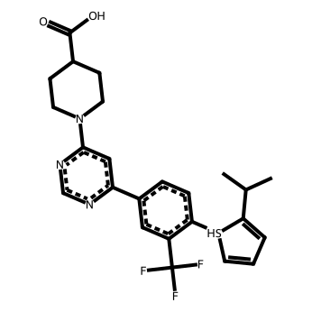 CC(C)C1=CC=C[SH]1c1ccc(-c2cc(N3CCC(C(=O)O)CC3)ncn2)cc1C(F)(F)F